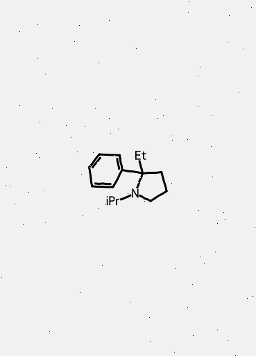 CCC1(c2ccccc2)CCCN1C(C)C